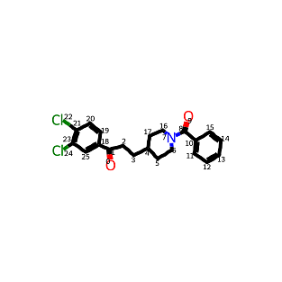 O=C(CCC1CCN(C(=O)c2ccccc2)CC1)c1ccc(Cl)c(Cl)c1